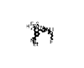 CCn1cc(-c2ccc3c(c2)CC(C)N(CC(F)(F)F)C3c2ccc(NC3CN(CCCF)C3)cn2)cn1